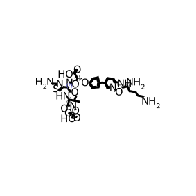 C[n+]1cc(-c2ccc(OC[C@H](O/N=C(\C(=O)N[C@@H]3C(=O)N(OS(=O)(=O)O)C3(C)C)c3csc(N)n3)C(=O)O)cc2)ccc1NC(=O)[C@H](N)CCCCN